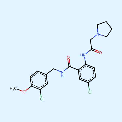 COc1ccc(CNC(=O)c2cc(Cl)ccc2NC(=O)CN2CCCC2)cc1Cl